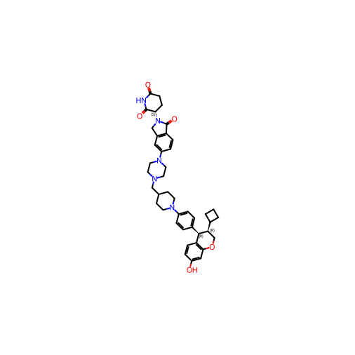 O=C1CC[C@H](N2Cc3cc(N4CCN(CC5CCN(c6ccc([C@@H]7c8ccc(O)cc8OC[C@@H]7C7CCC7)cc6)CC5)CC4)ccc3C2=O)C(=O)N1